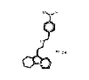 CCN(CC)c1ccc(CNCCc2c3c(n4ccccc24)CCCC3)cc1.Cl.Cl